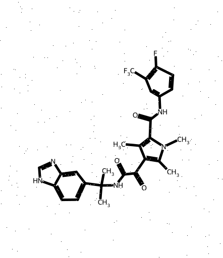 Cc1c(C(=O)C(=O)NC(C)(C)c2ccc3[nH]cnc3c2)c(C)n(C)c1C(=O)Nc1ccc(F)c(C(F)(F)F)c1